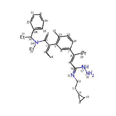 C=C(/C(=C/C)c1cc(/C(=C/C(=N/CCC2CC2)NN)C(C)C)ccc1C)N(CC)C(CC)c1ccccc1